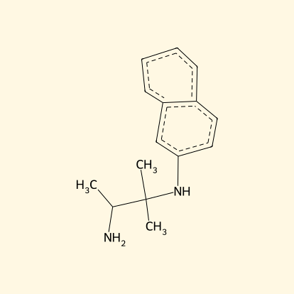 CC(N)C(C)(C)Nc1ccc2ccccc2c1